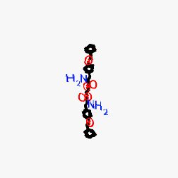 NC(Cc1ccc(OCc2ccccc2)cc1)C(=O)OCCOC(=O)C(N)Cc1ccc(OCc2ccccc2)cc1